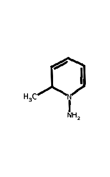 CC1C=CC=CN1N